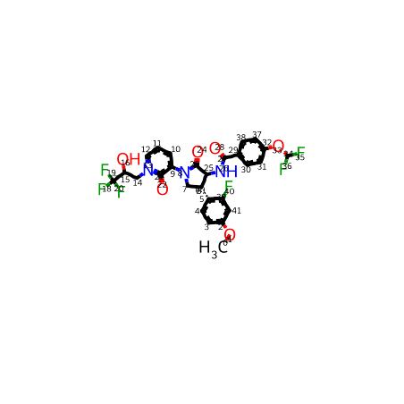 COc1ccc([C@@H]2CN(c3cccn(CC(O)C(F)(F)F)c3=O)C(=O)C2NC(=O)c2ccc(OC(F)F)cc2)c(F)c1